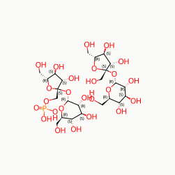 O=P(O)(O)OC[C@@]1(O[C@H]2O[C@H](CO)[C@@H](O)[C@H](O)[C@H]2O)O[C@H](CO)[C@@H](O)[C@@H]1O.OC[C@H]1O[C@@](CO)(O[C@H]2O[C@H](CO)[C@@H](O)[C@H](O)[C@H]2O)[C@@H](O)[C@@H]1O